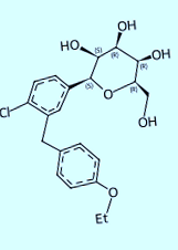 CCOc1ccc(Cc2cc([C@@H]3O[C@H](CO)[C@H](O)[C@H](O)[C@@H]3O)ccc2Cl)cc1